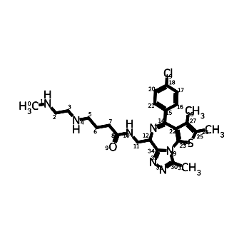 CNCCNCCCC(=O)NCC1N=C(c2ccc(Cl)cc2)c2c(sc(C)c2C)-n2c(C)nnc21